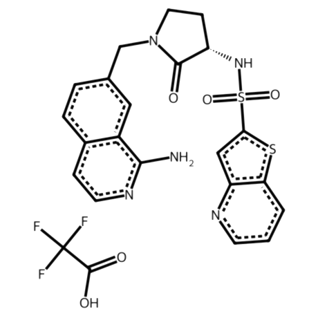 Nc1nccc2ccc(CN3CC[C@H](NS(=O)(=O)c4cc5ncccc5s4)C3=O)cc12.O=C(O)C(F)(F)F